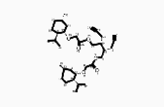 C#CC[C@H](COC(=O)CO[C@H]1C[C@H](C)CC[C@H]1C(C)C)[C@@H](CC#C)COC(=O)CO[C@H]1C[C@@H](C)CC[C@@H]1C(C)C